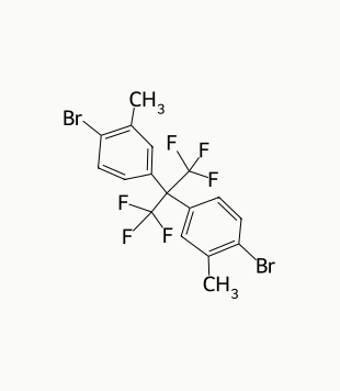 Cc1cc(C(c2ccc(Br)c(C)c2)(C(F)(F)F)C(F)(F)F)ccc1Br